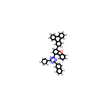 C1=CC(c2nc(-c3ccc4ccccc4c3)nc(-c3ccc(-c4ccc5c6ccccc6c6ccccc6c5c4)c4oc5ccccc5c34)n2)=CCC1